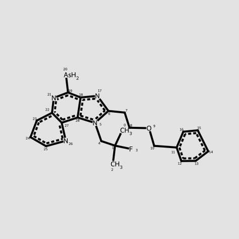 CC(C)(F)Cn1c(CCOCc2ccccc2)nc2c([AsH2])nc3cccnc3c21